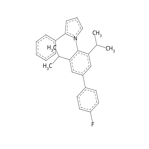 CC(C)c1cc(-c2ccc(F)cc2)cc(C(C)C)c1-n1cccc1-c1ccccc1